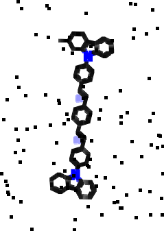 CC1C=Cc2c(n(-c3ccc(/C=C/c4ccc(/C=C/C5=CC=C(n6c7c(c8ccccc86)C=CCC7)CC5)cc4)cc3)c3ccccc23)C1